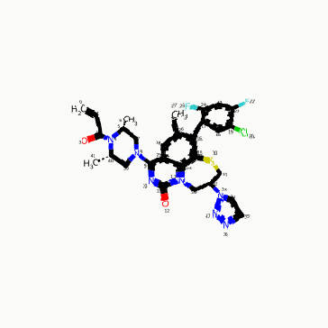 C=CC(=O)N1[C@H](C)CN(c2nc(=O)n3c4c(c(-c5cc(Cl)c(F)cc5F)c(C)cc24)SCC(n2ccnn2)C3)C[C@@H]1C